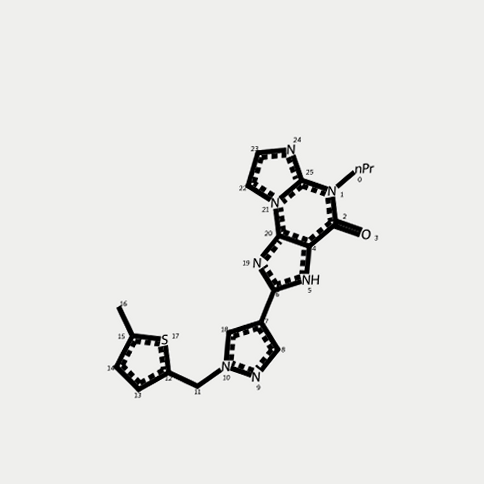 CCCn1c(=O)c2[nH]c(-c3cnn(Cc4ccc(C)s4)c3)nc2n2ccnc12